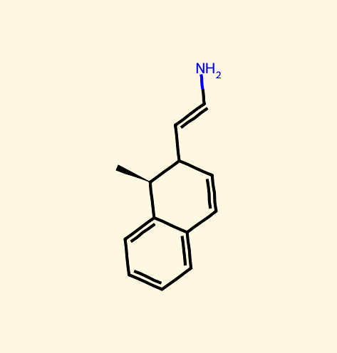 C[C@@H]1c2ccccc2C=CC1/C=C/N